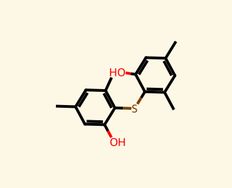 Cc1cc(C)c(Sc2c(C)cc(C)cc2O)c(O)c1